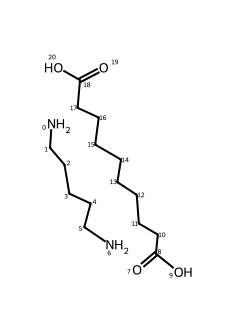 NCCCCCN.O=C(O)CCCCCCCCC(=O)O